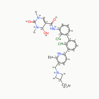 CCc1nc(-c2cccc(-c3cccc(NC(=O)C4=CN(C)C(=O)N(C)C4O)c3Cl)c2Cl)ccc1CN1CC(C(=O)O)C1